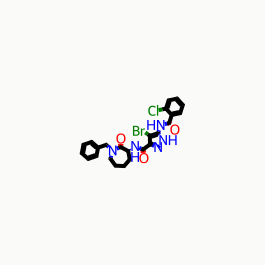 O=C(Nc1[nH]nc(C(=O)N[C@@H]2CCCCN(Cc3ccccc3)C2=O)c1Br)c1ccccc1Cl